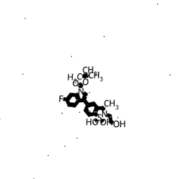 CC1c2cc(-c3cn(C(=O)OC(C)(C)C)c4cc(F)ccc34)ccc2S(O)(O)N1CCO